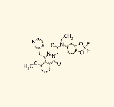 CCN(C(=O)Cn1nc(Cc2cccnc2)c2c(OC)cccc2c1=O)c1ccc2c(c1)OC(F)(F)O2